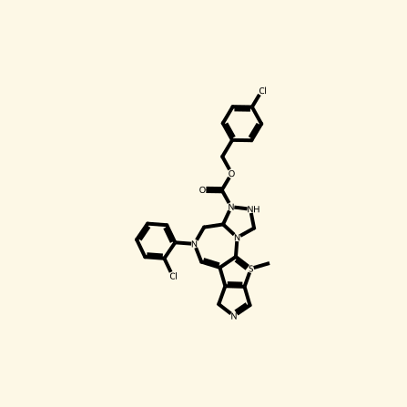 CS1=C2C(=CN(c3ccccc3Cl)CC3N2CNN3C(=O)OCc2ccc(Cl)cc2)C2=C1C=NC2